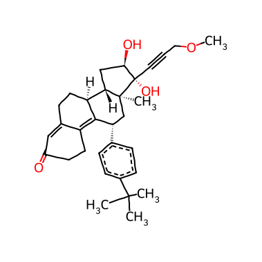 COCC#C[C@]1(O)[C@H](O)C[C@H]2[C@@H]3CCC4=CC(=O)CCC4=C3[C@@H](c3ccc(C(C)(C)C)cc3)C[C@@]21C